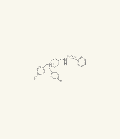 Fc1ccc(C[N+]2(Cc3ccc(F)cc3)CCC(CN[C@@H]3C[C@H]3c3ccccc3)CC2)cc1